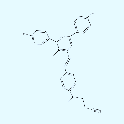 CN(CCC#N)c1ccc(/C=C/c2cc(-c3ccc(Cl)cc3)cc(-c3ccc(F)cc3)[n+]2C)cc1.[I-]